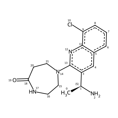 C[C@H](N)c1cc2cccc(Cl)c2nc1N1CCNC(=O)CC1